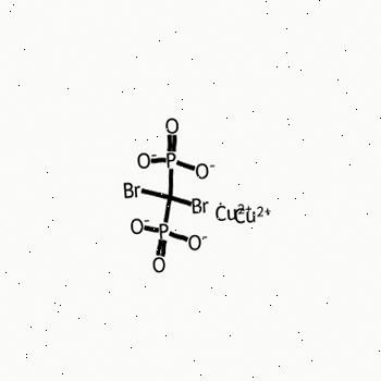 O=P([O-])([O-])C(Br)(Br)P(=O)([O-])[O-].[Cu+2].[Cu+2]